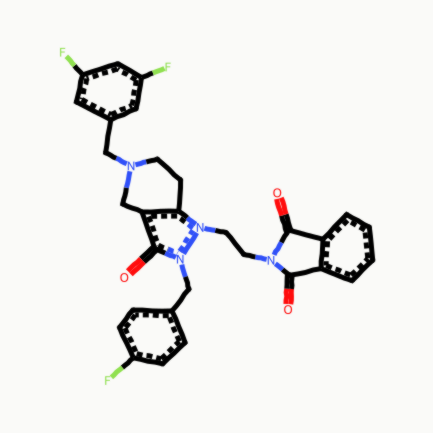 O=C1c2ccccc2C(=O)N1CCn1c2c(c(=O)n1Cc1ccc(F)cc1)CN(Cc1cc(F)cc(F)c1)CC2